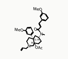 C=CCN1CC[C@@]2(c3cccc(OC)c3)C[C@H](N(C)C(=O)C=Cc3cccc(OC)c3)CC[C@]2(OC(C)=O)C1